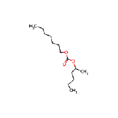 CCCCCCCOC(=O)OC(C)CCCC